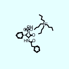 CCCC[N+](CCCC)(CCCC)CCCC.O=C(Cc1ccccc1)N[C@H]1C(=O)N(S(=O)(=O)O)[C@@H]1c1ccccc1